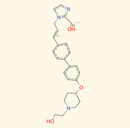 C[C@H](O)c1nccn1C/C=C/c1ccc(-c2ccc(OC3CCN(CCO)CC3)cc2)cc1